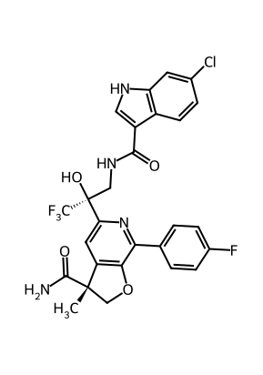 C[C@]1(C(N)=O)COc2c1cc([C@@](O)(CNC(=O)c1c[nH]c3cc(Cl)ccc13)C(F)(F)F)nc2-c1ccc(F)cc1